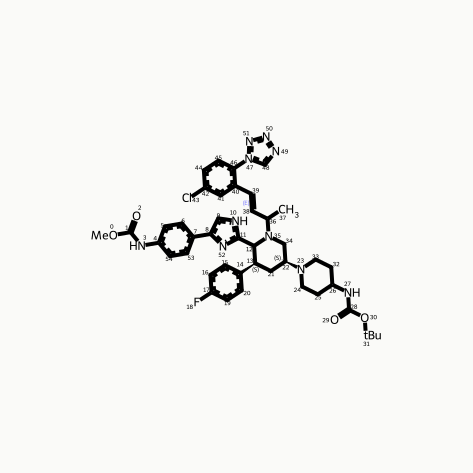 COC(=O)Nc1ccc(-c2c[nH]c(C3[C@H](c4ccc(F)cc4)C[C@H](N4CCC(NC(=O)OC(C)(C)C)CC4)CN3C(C)/C=C/c3cc(Cl)ccc3-n3cnnn3)n2)cc1